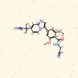 COc1cc(-c2cnc3cc(C(C)(C)C#N)ccn23)cc(OC)c1C(=O)NCC#N